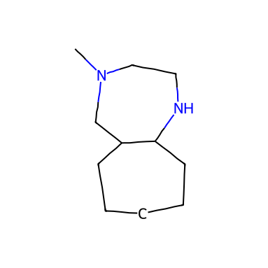 CN1CCNC2CCCCCC2C1